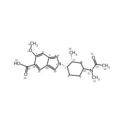 COc1cc2nn([C@H]3CCC(N(C)C(C)=O)C[C@H]3C)cc2cc1C(=O)O